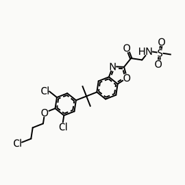 CC(C)(c1cc(Cl)c(OCCCCl)c(Cl)c1)c1ccc2oc(C(=O)CNS(C)(=O)=O)nc2c1